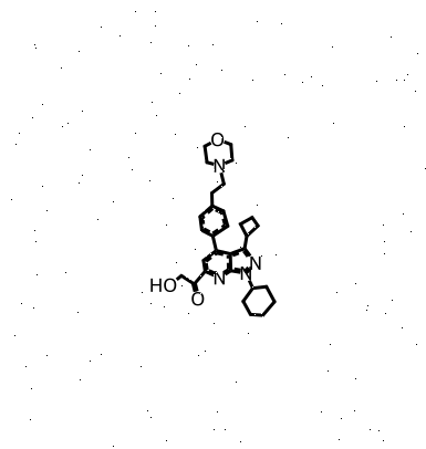 O=C(CO)c1cc(-c2ccc(CCN3CCOCC3)cc2)c2c(C3CCC3)nn(C3CCCCC3)c2n1